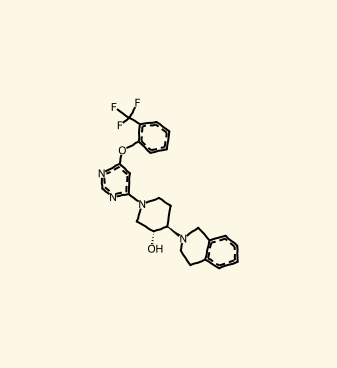 O[C@@H]1CN(c2cc(Oc3ccccc3C(F)(F)F)ncn2)CC[C@H]1N1CCc2ccccc2C1